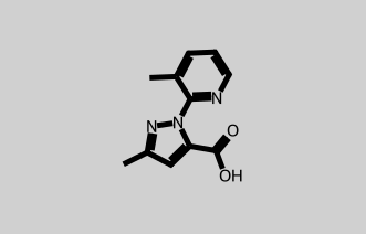 Cc1cc(C(=O)O)n(-c2ncccc2C)n1